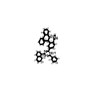 C1=CC2=C(CC1)C(C1CC(C3N=C(c4cccc5c4CCC=C5)NC(c4ccccc4)N3)=CC=C1C1N=CN1)Cc1ccccc12